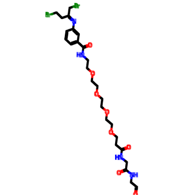 O=CCNC(=O)CNC(=O)CCOCCOCCOCCOCCNC(=O)c1cccc(/N=C(/CBr)CCBr)c1